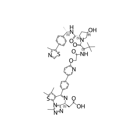 Cc1ncsc1-c1ccc([C@H](C)NC(=O)[C@@H]2C[C@@H](O)CN2C(=O)[C@@H](NC(=O)COc2ccc(-c3ccc(C4=N[C@@H](CC(=O)O)c5nnc(C)n5-c5sc(C)c(C)c54)cc3)cn2)C(C)(C)C)cc1